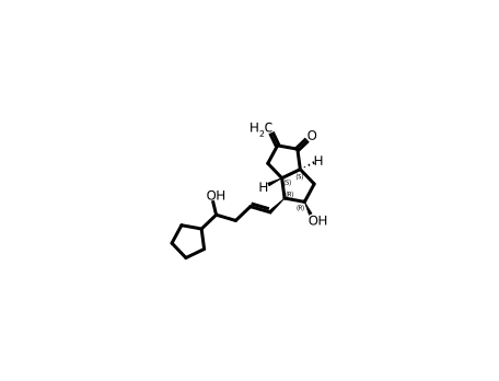 C=C1C[C@H]2[C@H](C=CCC(O)C3CCCC3)[C@H](O)C[C@@H]2C1=O